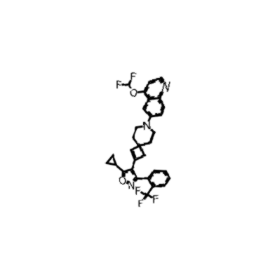 FC(F)Oc1ccnc2ccc(N3CCC4(C=C(c5c(-c6ccccc6C(F)(F)F)noc5C5CC5)C4)CC3)cc12